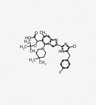 Cc1cc2nc(-c3nc(Cl)c(Cc4ccc(F)cc4)[nH]3)cn2c(N2CCC(C)(C)CC2)c1C(OC(C)(C)C)C(=O)O